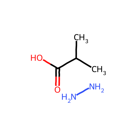 CC(C)C(=O)O.NN